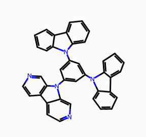 c1ccc2c(c1)c1ccccc1n2-c1cc(-n2c3ccccc3c3ccccc32)cc(-n2c3cnccc3c3ccncc32)c1